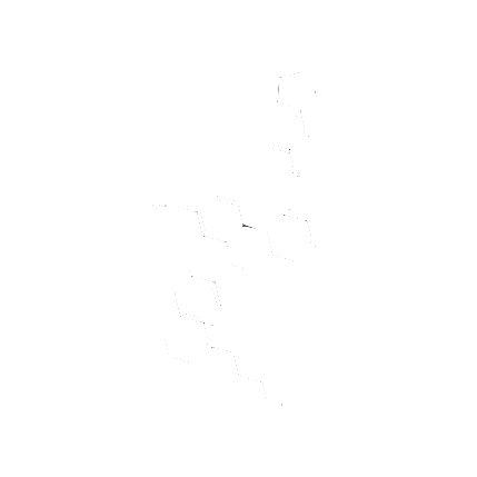 COCCCN1CCOc2ccc(CO[C@H]3CNC[C@@H](CNC(=O)NC4CCCC4)[C@@H]3c3ccc(OC)cc3)cc21